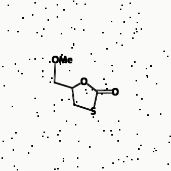 COCC1CSC(=O)O1